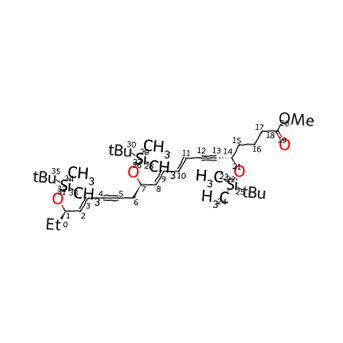 CC[C@H](C=CC#CC[C@H](C=CC=CC#C[C@H](CCCC(=O)OC)O[Si](C)(C)C(C)(C)C)O[Si](C)(C)C(C)(C)C)O[Si](C)(C)C(C)(C)C